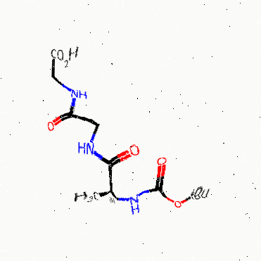 C[C@H](NC(=O)OC(C)(C)C)C(=O)NCC(=O)NCC(=O)O